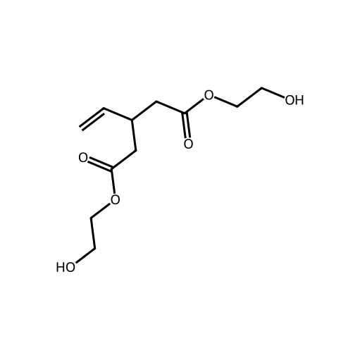 C=CC(CC(=O)OCCO)CC(=O)OCCO